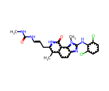 CNC(=O)NC=CCc1[nH]c(=O)c2c(ccc3nc(Nc4c(Cl)cccc4Cl)n(C)c32)c1C